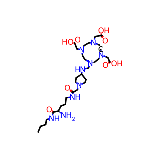 CCCCNC(=O)[C@H](N)CCCNC(=O)CN1CCC(NCN2CCN(CC(=O)O)CCN(CC(=O)O)CCN(CC(=O)O)CC2)CC1